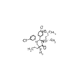 C=CC[C@@]1(C)C[C@H](c2cccc(Cl)c2)C(c2ccc(Cl)cc2)N([C@@H](CC)CCC(C)O)C1=O